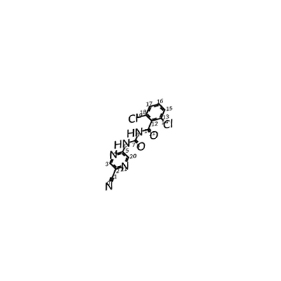 N#Cc1cnc(NC(=O)NC(=O)c2c(Cl)cccc2Cl)cn1